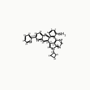 Nc1ccccc1-c1ncnc2c1c(-c1ccc3ccc(-c4ccccn4)nc3c1)cn2C1CCC1